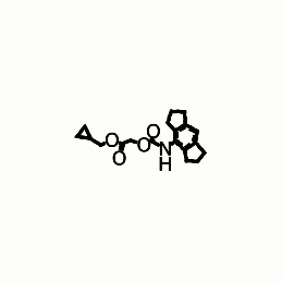 O=C(COC(=O)Nc1c2c(cc3c1CCC3)CCC2)OCC1CC1